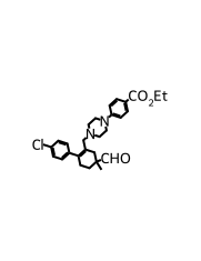 CCOC(=O)c1ccc(N2CCN(CC3=C(c4ccc(Cl)cc4)CCC(C)(C=O)C3)CC2)cc1